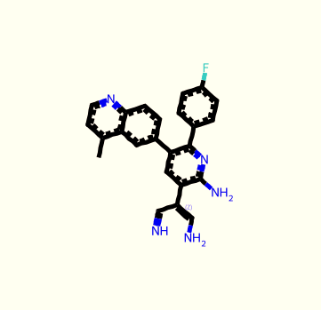 Cc1ccnc2ccc(-c3cc(/C(C=N)=C/N)c(N)nc3-c3ccc(F)cc3)cc12